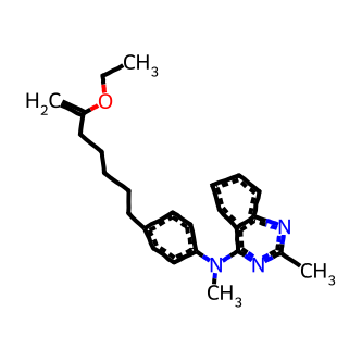 C=C(CCCCCc1ccc(N(C)c2nc(C)nc3ccccc23)cc1)OCC